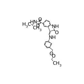 CCOOCc1cccc(N/C=C2\C(=O)Nc3ccc(S(=O)(=O)NC(C)C)cc32)c1